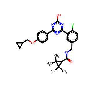 CC1(C)C(C(=O)NCc2ccc(Cl)c(-c3nc(O)nc(-c4ccc(OCC5CC5)cc4)n3)c2)C1(C)C